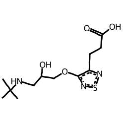 CC(C)(C)NCC(O)COc1nsnc1CCC(=O)O